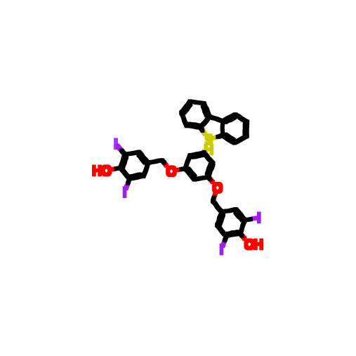 Oc1c(I)cc(COc2cc(OCc3cc(I)c(O)c(I)c3)cc([SH]3c4ccccc4-c4ccccc43)c2)cc1I